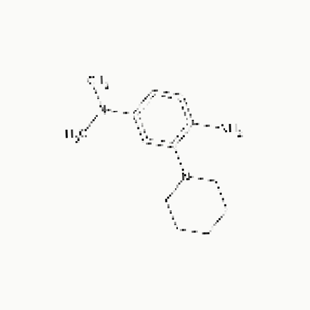 CN(C)c1ccc(N)c(N2CCCCC2)c1